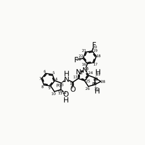 O=C(N[C@@H]1c2ccccc2C[C@@H]1O)c1nn(-c2ccc(F)cc2F)c2c1C[C@@H]1C[C@H]21